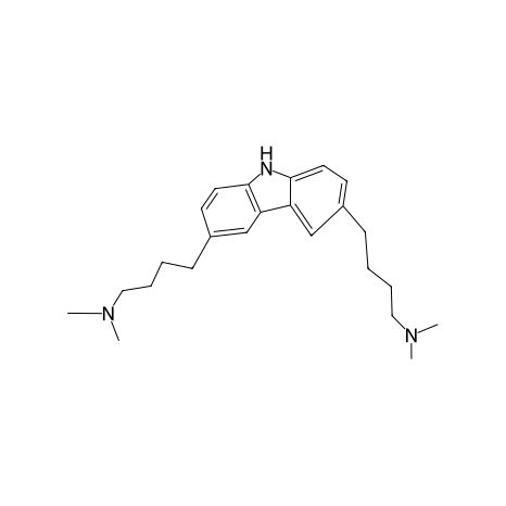 CN(C)CCCCc1ccc2[nH]c3ccc(CCCCN(C)C)cc3c2c1